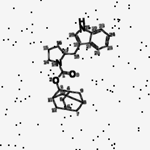 O=C(OC1C2CC3CC(C2)CC1C3)N1CCCC1Cc1c[nH]c2ccccc12